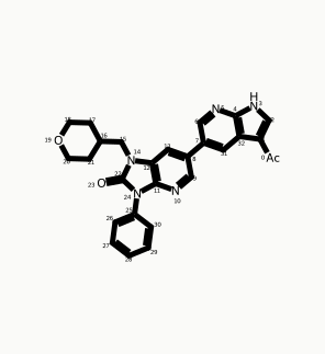 CC(=O)c1c[nH]c2ncc(-c3cnc4c(c3)n(CC3CCOCC3)c(=O)n4-c3ccccc3)cc12